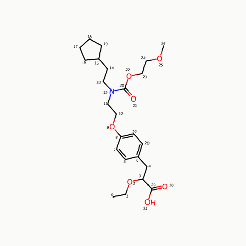 CCOC(Cc1ccc(OCCN(CCC2CCCC2)C(=O)OCCOC)cc1)C(=O)O